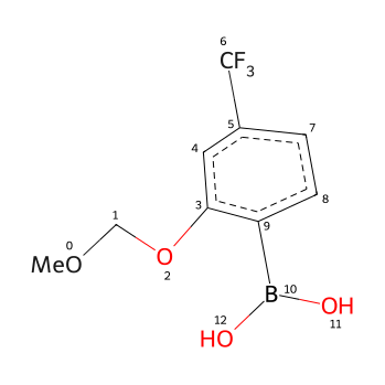 COCOc1cc(C(F)(F)F)ccc1B(O)O